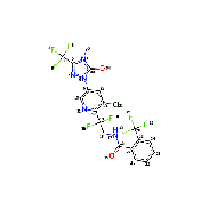 Cn1c(C(F)(F)F)nn(-c2cnc(C(F)(F)CNC(=O)c3ccccc3C(F)(F)F)c(Cl)c2)c1=O